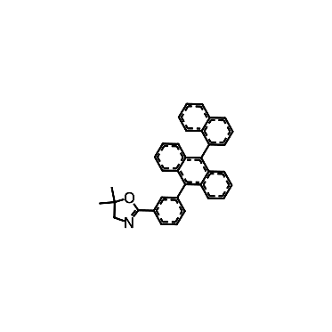 CC1(C)CN=C(c2cccc(-c3c4ccccc4c(-c4cccc5ccccc45)c4ccccc34)c2)O1